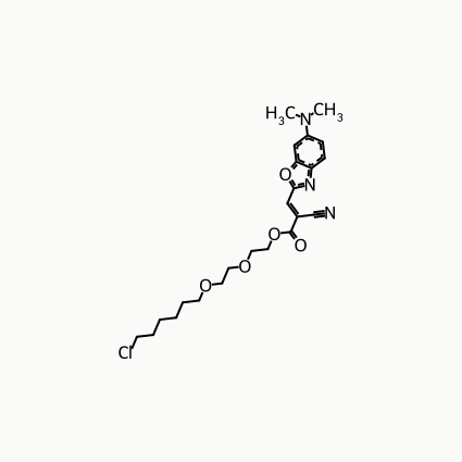 CN(C)c1ccc2nc(/C=C(\C#N)C(=O)OCCOCCOCCCCCCCl)oc2c1